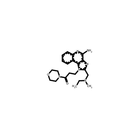 CCN(C)Cc1nc2c(N)nc3ccccc3c2n1CCC(=O)N1CCOCC1